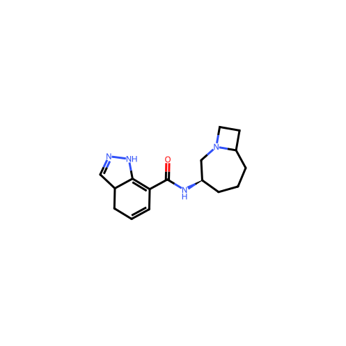 O=C(N[C@@H]1CCCC2CCN2C1)C1=C2NN=CC2CC=C1